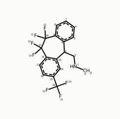 CNCC1c2ccccc2C(F)(F)C(F)(F)c2ccc(C(F)(F)F)cc21